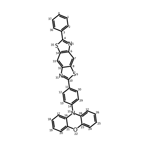 c1ccc(-c2nc3cc4sc(-c5ccc(N6c7ccccc7Oc7ccccc76)cc5)nc4cc3s2)cc1